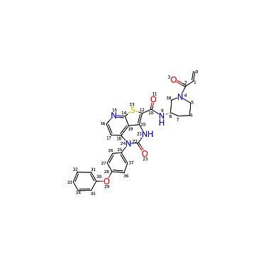 C=CC(=O)N1CCC[C@H](NC(=O)c2sc3nccc4c3c2NC(=O)N4c2ccc(Oc3ccccc3)cc2)C1